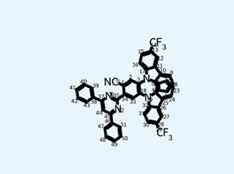 N#Cc1cc(-n2c3ccccc3c3cc(C(F)(F)F)ccc32)c(-n2c3ccccc3c3cc(C(F)(F)F)ccc32)cc1-c1nc(-c2ccccc2)cc(-c2ccccc2)n1